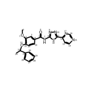 COc1cc(C(=O)Nc2nnc(-c3ccncn3)s2)ccc1OC(C)c1ccccc1